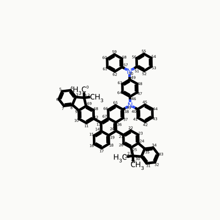 CC1(C)c2ccccc2-c2ccc(-c3c4ccccc4c(-c4ccc5c(c4)C(C)(C)c4ccccc4-5)c4cc(N(c5ccccc5)c5ccc(N(c6ccccc6)c6ccccc6)cc5)ccc34)cc21